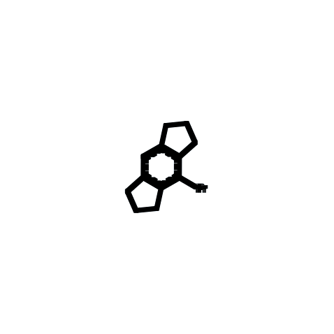 CC(C)c1c2c(cc3c1CCC3)CCC2